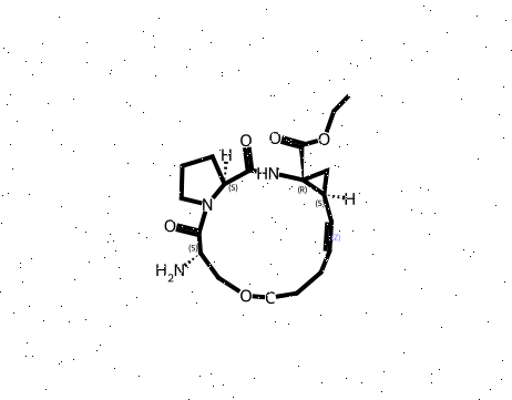 CCOC(=O)[C@@]12C[C@H]1/C=C\CCCOC[C@H](N)C(=O)N1CCC[C@H]1C(=O)N2